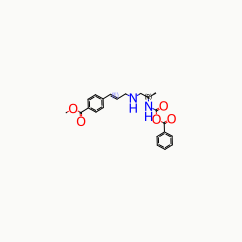 COC(=O)c1ccc(/C=C/CNC[C@@H](C)NC(=O)OC(=O)c2ccccc2)cc1